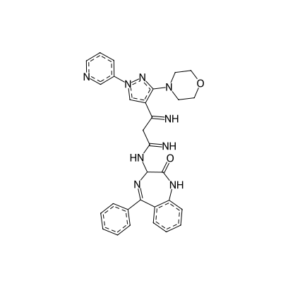 N=C(CC(=N)c1cn(-c2cccnc2)nc1N1CCOCC1)NC1N=C(c2ccccc2)c2ccccc2NC1=O